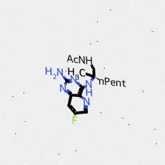 CCCCC[C@](C)(CNC(C)=O)Nc1nc(N)nc2cc(F)cnc12